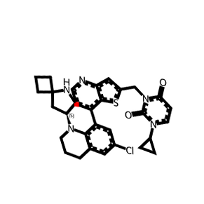 O=c1ccn(C2CC2)c(=O)n1Cc1cc2nccc(-c3cc(Cl)cc4c3N([C@@H]3CNC5(CCC5)C3)CCC4)c2s1